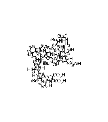 CC[C@H](C)[C@H](NC(=O)[C@H](C)N)C(=O)N[C@@H](CS)C(=O)N[C@@H](CO)C(=O)N[C@@H](CCCNC=N)C(=O)N[C@@H](CO)C(=O)N[C@@H](CC(C)C)C(=O)N1CC=C[C@H]1C(=O)N1[C@H](C(=O)N[C@H](C(=O)N[C@H](C(=O)N[C@H](C(=O)N2CCC[C@H]2C(=O)N[C@@H](CC(=O)O)C(=O)O)[C@@H](C)CC)C(C)(C)S)[C@@H](C)CC)C[C@@H]2CCCC[C@@H]21